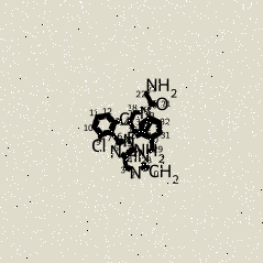 C=C(/N=C\c1nc(-c2c(Cl)cccc2Cl)n(C2CCN(C(=O)CN)CC2)c1N)NCc1ccccc1F